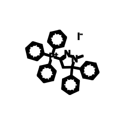 CN1N=C([P+](c2ccccc2)(c2ccccc2)c2ccccc2)CC1(c1ccccc1)c1ccccc1.[I-]